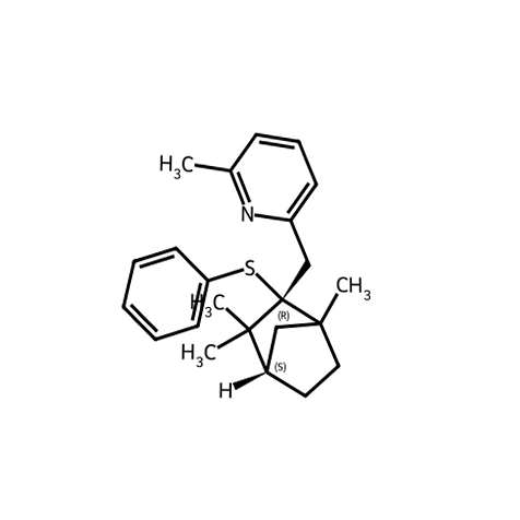 Cc1cccc(C[C@@]2(Sc3ccccc3)C3(C)CC[C@@H](C3)C2(C)C)n1